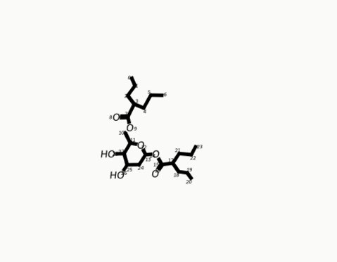 CCCC(CCC)C(=O)OCC1OC(OC(=O)C(CCC)CCC)CC(O)C1O